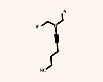 CC(C)CN(C#CCCCC#N)CC(C)C